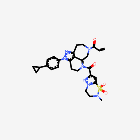 C=CC(=O)N1CCc2nn(-c3ccc(C4CC4)cc3)c3c2[C@H](C1)N(C(=O)c1cc2n(n1)CCN(C)S2(=O)=O)CC3